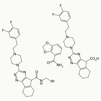 CC(C)CNC(=O)C1C2=C(CCCC2)c2nnc(N3CCN(CCc4ccc(F)c(F)c4)CC3)nc21.NC(=O)c1cccc2c1OCO2.O=C(O)C1C2=C(CCCC2)c2nnc(N3CCN(CCc4ccc(F)c(F)c4)CC3)nc21